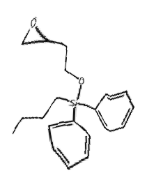 CCCC[Si](OCCC1CO1)(c1ccccc1)c1ccccc1